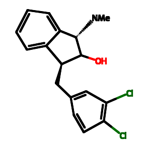 CN[C@H]1c2ccccc2[C@H](Cc2ccc(Cl)c(Cl)c2)C1O